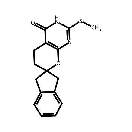 CSc1nc2c(c(=O)[nH]1)CCC1(Cc3ccccc3C1)O2